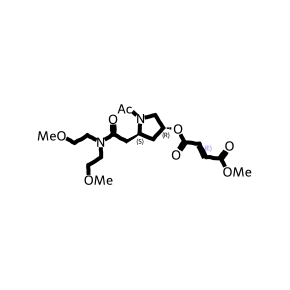 COCCN(CCOC)C(=O)C[C@@H]1C[C@@H](OC(=O)/C=C/C(=O)OC)CN1C(C)=O